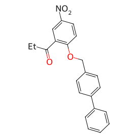 CCC(=O)c1cc([N+](=O)[O-])ccc1OCc1ccc(-c2ccccc2)cc1